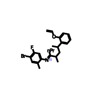 C=COc1ccccc1C(C)CC(C)/C(CCC)=N/c1cc(F)c(Br)cc1C